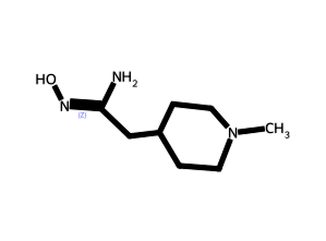 CN1CCC(C/C(N)=N/O)CC1